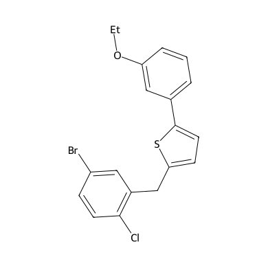 CCOc1cccc(-c2ccc(Cc3cc(Br)ccc3Cl)s2)c1